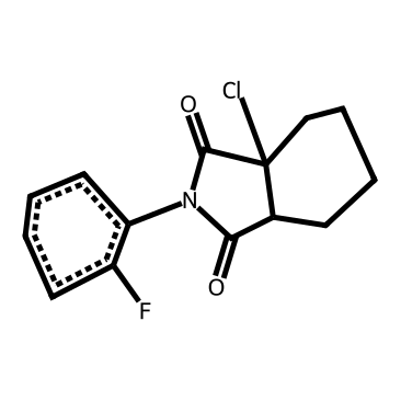 O=C1C2CCCCC2(Cl)C(=O)N1c1ccccc1F